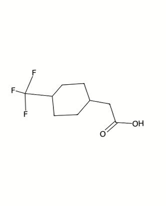 O=C(O)CC1CCC(C(F)(F)F)CC1